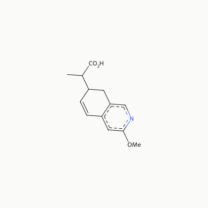 COc1cc2c(cn1)CC(C(C)C(=O)O)C=C2